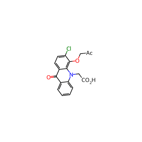 CC(=O)COc1c(Cl)ccc2c(=O)c3ccccc3n(CC(=O)O)c12